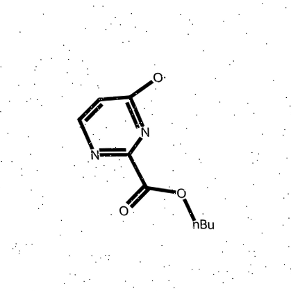 CCCCOC(=O)c1nccc([O])n1